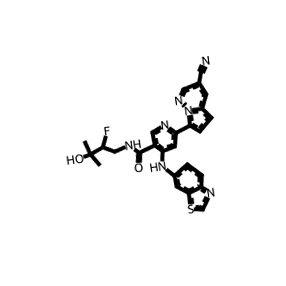 CC(C)(O)C(F)CNC(=O)c1cnc(-c2ccc3cc(C#N)cnn23)cc1Nc1ccc2ncsc2c1